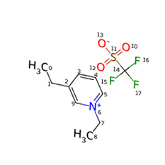 CCc1ccc[n+](CC)c1.O=S(=O)([O-])C(F)(F)F